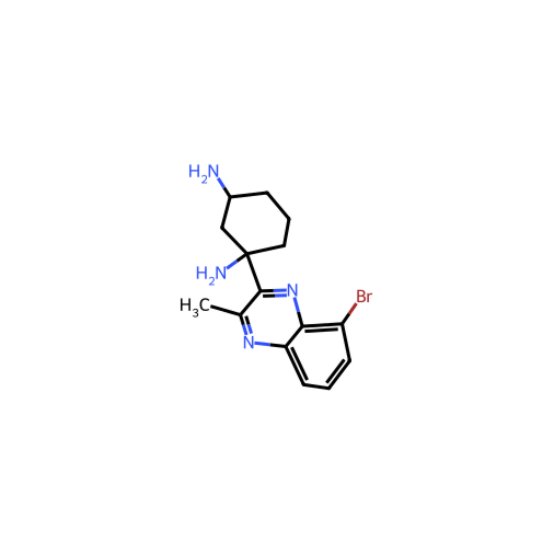 Cc1nc2cccc(Br)c2nc1C1(N)CCCC(N)C1